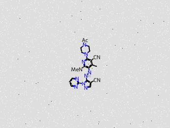 CNc1nc(N2CCN(C(C)=O)CC2)c(C#N)c(C)c1/N=N/c1c(C#N)cnn1-c1ncccn1